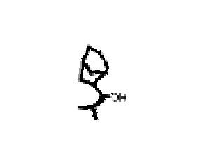 CC(C)=C(O)C1CC2CCC1C2